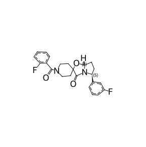 O=C(c1ccccc1F)N1CCC2(CC1)O[C@@H]1CC[C@@H](c3cccc(F)c3)N1C2=O